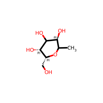 CC1O[C@H](CO)[C@H](O)C(O)[C@H]1O